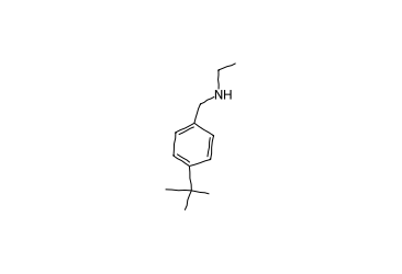 CCNCc1ccc(C(C)(C)C)cc1